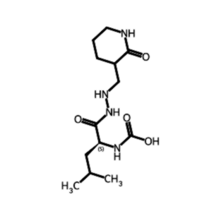 CC(C)C[C@H](NC(=O)O)C(=O)NNCC1CCCNC1=O